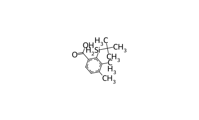 Cc1ccc(C(=O)O)c([SiH2]C(C)(C)C)c1C